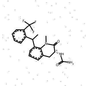 CC(c1ccccc1C(F)(F)F)c1cccc2c1N(C)C(=O)[C@H](NC(N)=O)C2